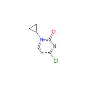 O=c1nc(Cl)ccn1C1CC1